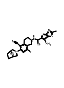 Cc1nc2sc(C(O)N[C@@H]3CCc4c(C#N)c(N5CC6CCC(C5)N6)cc(F)c4C3)c(N)c2s1